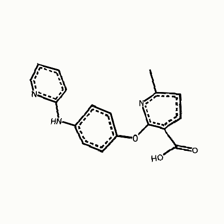 Cc1ccc(C(=O)O)c(Oc2ccc(Nc3ccccn3)cc2)n1